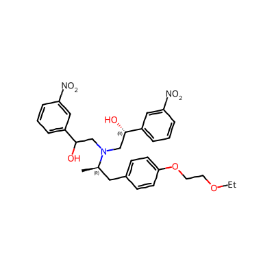 CCOCCOc1ccc(C[C@@H](C)N(CC(O)c2cccc([N+](=O)[O-])c2)C[C@H](O)c2cccc([N+](=O)[O-])c2)cc1